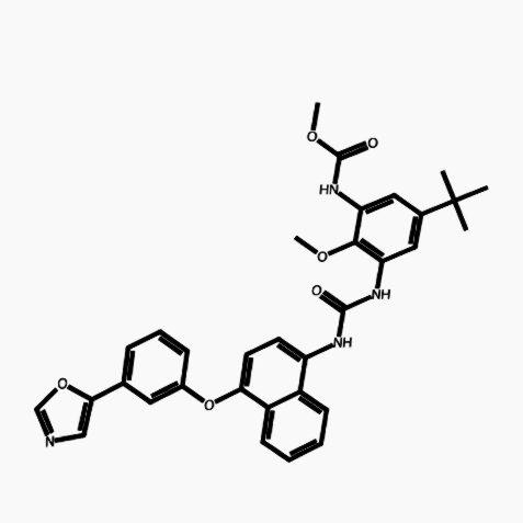 COC(=O)Nc1cc(C(C)(C)C)cc(NC(=O)Nc2ccc(Oc3cccc(-c4cnco4)c3)c3ccccc23)c1OC